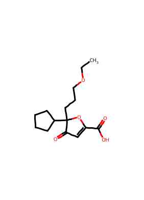 CCOCCCC1(C2CCCC2)OC(C(=O)O)=CC1=O